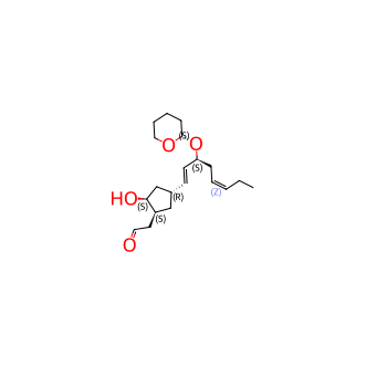 CC/C=C\C[C@@H](C=C[C@@H]1C[C@@H](CC=O)[C@@H](O)C1)O[C@H]1CCCCO1